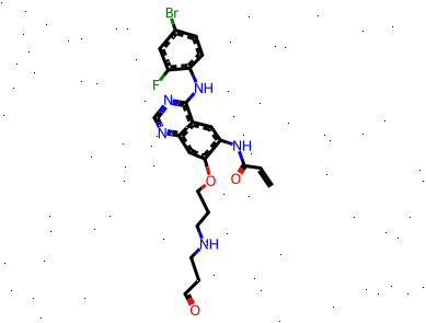 C=CC(=O)Nc1cc2c(Nc3ccc(Br)cc3F)ncnc2cc1OCCCNCCC=O